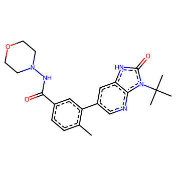 Cc1ccc(C(=O)NN2CCOCC2)cc1-c1cnc2c(c1)[nH]c(=O)n2C(C)(C)C